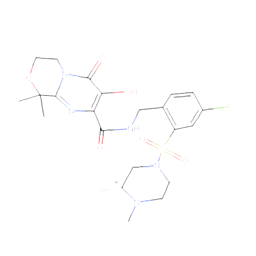 C[C@@H]1CN(S(=O)(=O)c2cc(F)ccc2CNC(=O)c2nc3n(c(=O)c2O)CCOC3(C)C)CCN1C